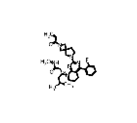 C=CC(=O)N1CC2(CCN(c3nc(-c4ccccc4F)c4c(n3)N([C@H](CC(=O)NC)CC(C)C)CCC4)C2)C1